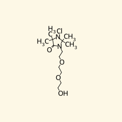 CC1(C)C(=O)N(CCOCCOCCO)C(C)(C)N1Cl